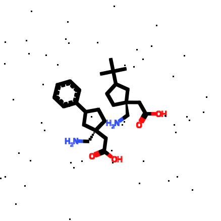 CC(C)(C)C1CC[C@@](CN)(CC(=O)O)C1.NC[C@@]1(CC(=O)O)CCC(c2ccccc2)C1